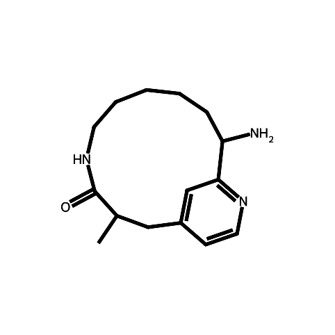 CC1Cc2ccnc(c2)C(N)CCCCCNC1=O